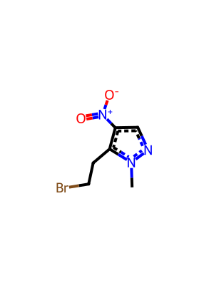 Cn1ncc([N+](=O)[O-])c1CCBr